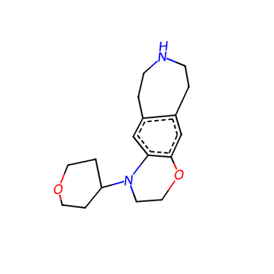 c1c2c(cc3c1OCCN3C1CCOCC1)CCNCC2